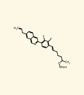 C=CCc1ccc2cc(-c3ccc(C=CCCCC(C)OCCCCC)c(F)c3F)ncc2c1